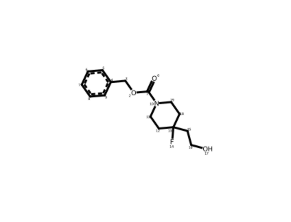 O=C(OCc1ccccc1)N1CCC(F)(CCO)CC1